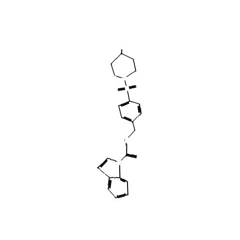 O=C(NCc1ccc(S(=O)(=O)N2CCC(F)CC2)cc1)n1ccc2ccccc21